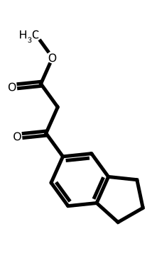 COC(=O)CC(=O)c1ccc2c(c1)CCC2